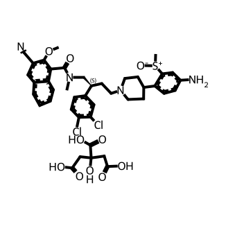 COc1c(C#N)cc2ccccc2c1C(=O)N(C)C[C@@H](CCN1CCC(c2ccc(N)cc2[S+](C)[O-])CC1)c1ccc(Cl)c(Cl)c1.O=C(O)CC(O)(CC(=O)O)C(=O)O